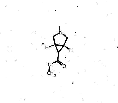 COC(=O)[C@H]1[C@@H]2CNC[C@@H]21